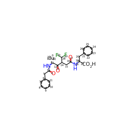 CC[C@H](C)[C@H](NC(=O)Cc1ccccc1)C(=O)C(CC(=O)N[C@@H](Cc1ccccc1)C(=O)O)C(F)F